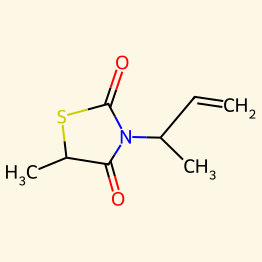 C=CC(C)N1C(=O)SC(C)C1=O